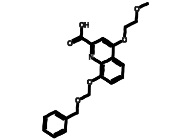 COCCOc1cc(C(=O)O)nc2c(OCOCc3ccccc3)cccc12